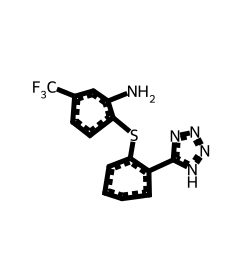 Nc1cc(C(F)(F)F)ccc1Sc1ccccc1-c1nnn[nH]1